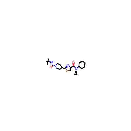 CC(C)(C)NC(=O)N1CCC(c2nc(C(=O)N(C3CCCCC3)C3CC3)cs2)CC1